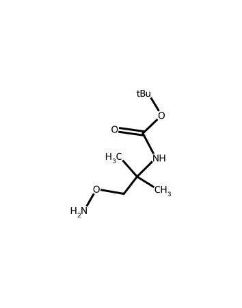 CC(C)(CON)NC(=O)OC(C)(C)C